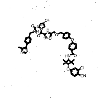 Cc1ncsc1-c1ccc(CNC(=O)[C@@H]2C[C@@H](O)CN2C(=O)C(NC(=O)COCc2ccc(Oc3ccc(C(=O)N[C@H]4C(C)(C)[C@H](Oc5ccc(C#N)c(Cl)c5)C4(C)C)cc3)cc2)C(C)(C)C)cc1